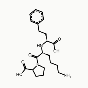 NCCCC[C@H](N[C@@H](CCc1ccccc1)C(=O)O)C(=O)N1CCCC1C(=O)O